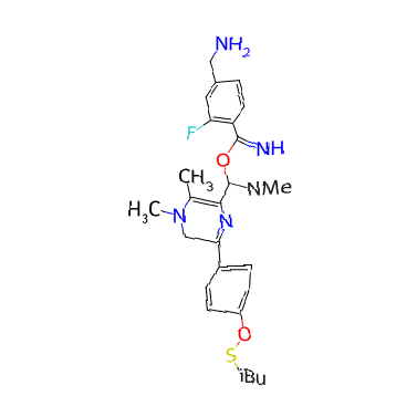 CCC(C)SOc1ccc(C2=NC(C(NC)OC(=N)c3ccc(CN)cc3F)=C(C)N(C)C2)cc1